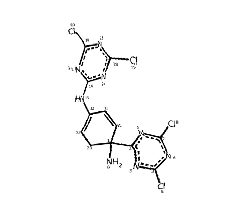 NC1(c2nc(Cl)nc(Cl)n2)C=CC(Nc2nc(Cl)nc(Cl)n2)=CC1